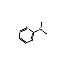 C[As](C)c1cc[c]cn1